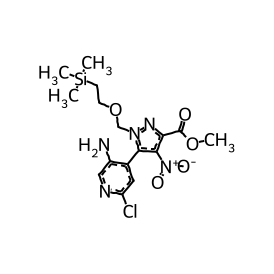 COC(=O)c1nn(COCC[Si](C)(C)C)c(-c2cc(Cl)ncc2N)c1[N+](=O)[O-]